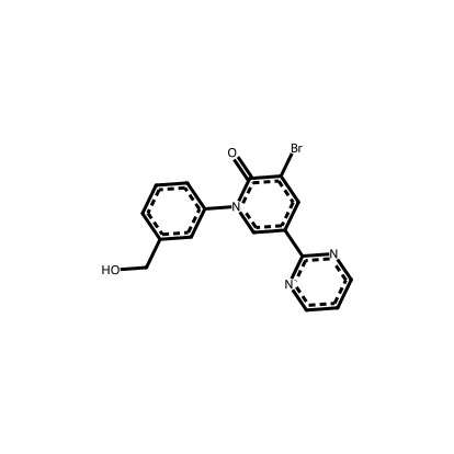 O=c1c(Br)cc(-c2ncccn2)cn1-c1cccc(CO)c1